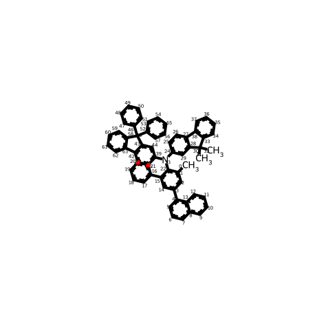 Cc1cc(-c2cccc3ccccc23)cc(-c2ccccc2)c1N(c1ccc2c(c1)C(C)(C)c1ccccc1-2)c1ccc2c(c1)C(c1ccccc1)(c1ccccc1)c1ccccc1-2